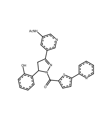 CC(=O)Nc1cncc(C2=NN(C(=O)c3ccc(-c4ccccn4)s3)C(c3ccccc3O)C2)c1